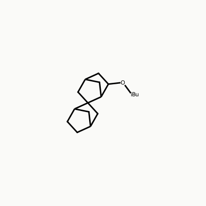 CCC(C)OC1CC2CC1C1(CC3CCC1C3)C2